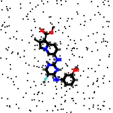 COC(=O)c1c(C)cn2cc(Nc3ncc(F)c(Nc4cccc(O)c4)n3)ccc12